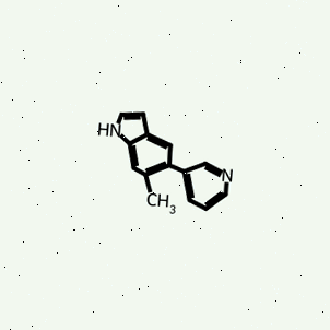 Cc1cc2[nH]ccc2cc1-c1cccnc1